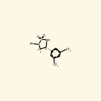 CC(C)N1[C@@H](C)[C@@H](c2cc(C(F)(F)F)cc(C(F)(F)F)c2)NS1(=O)=O